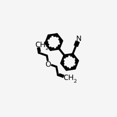 C=CCOCC=C.N#Cc1ccccc1-c1ccccc1